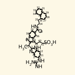 CC(c1nc2cc(NC(=N)N)ccc2[nH]1)c1nc2ccc(C(=O)NCCc3cccc4ccccc34)cc2n1CCCS(=O)(=O)O